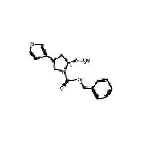 O=C(O)[C@@H]1CC(c2ccoc2)CN1C(=O)OCc1ccccc1